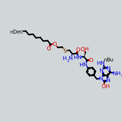 CCCCCCCCCCCCCCCCCC(=O)OCCSC[C@H](N)C(=O)N[C@@H](CO)C(=O)Nc1ccc(Cn2c(O)nc3c(N)nc(NCCCC)nc32)cc1